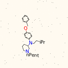 CCCCCN1CCCC(N(CCC(C)C)c2ccc(OCc3ccccc3)cc2)C1